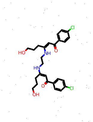 O=C(C=C(CCCO)NCCNC(=CC(=O)c1ccc(Cl)cc1)CCCO)c1ccc(Cl)cc1